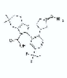 CC1(C)CCc2sc(-c3cc(C(F)(F)F)ccc3C3CC[C@@H](ON)C3)c(C(=O)O)c2C1